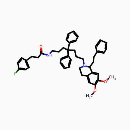 COc1cc2c(cc1OC)C(CCc1ccccc1)N(CCCC(CCCNC(=O)CCc1ccc(F)cc1)(c1ccccc1)c1ccccc1)CC2